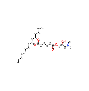 CCCCCCCCC(CCCCCC)OC(=O)CCCCC(=O)OCC(O)CN(C)C